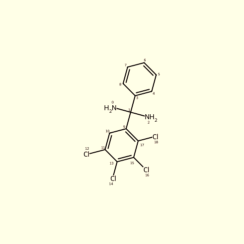 NC(N)(c1ccccc1)c1cc(Cl)c(Cl)c(Cl)c1Cl